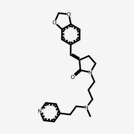 CN(CCCN1CC/C(=C\c2ccc3c(c2)OCO3)C1=O)CCc1ccncc1